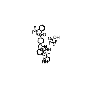 O=C(O)C(F)(F)F.O=c1[nH]nc(C2(Cc3cccc(Nc4cc[nH]n4)n3)CCN(S(=O)(=O)c3ccccc3C(F)(F)F)CC2)o1